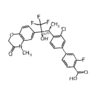 C[C@@H](c1ccc(-c2ccc(C(=O)O)c(F)c2)cc1Cl)[C@](O)(c1ccc2c(c1)N(C)C(=O)CO2)C(F)(F)F